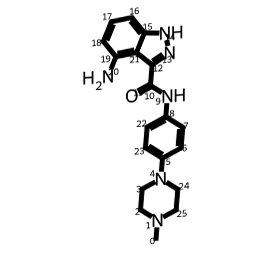 CN1CCN(c2ccc(NC(=O)c3n[nH]c4cccc(N)c34)cc2)CC1